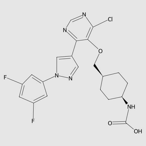 O=C(O)N[C@H]1CC[C@@H](COc2c(Cl)ncnc2-c2cnn(-c3cc(F)cc(F)c3)c2)CC1